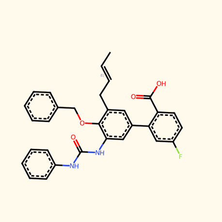 C/C=C/Cc1cc(-c2cc(F)ccc2C(=O)O)cc(NC(=O)Nc2ccccc2)c1OCc1ccccc1